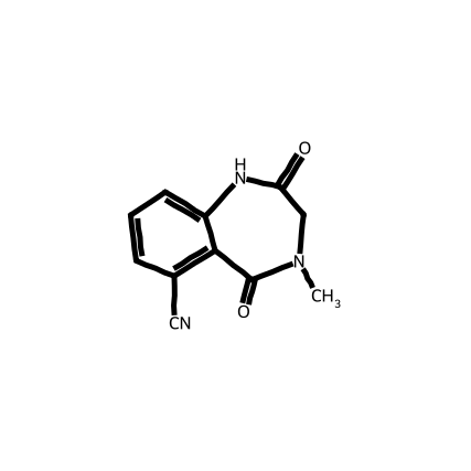 CN1CC(=O)Nc2cccc(C#N)c2C1=O